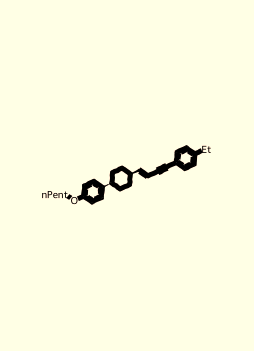 CCCCCOc1ccc([C@H]2CC[C@H](C=CC#Cc3ccc(CC)cc3)CC2)cc1